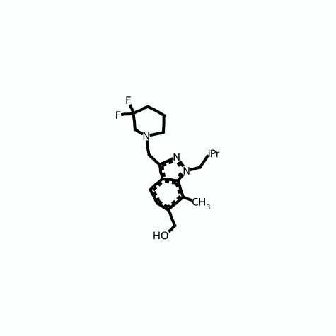 Cc1c(CO)ccc2c(CN3CCCC(F)(F)C3)nn(CC(C)C)c12